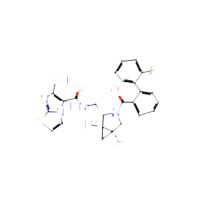 Cc1nc2sccn2c1C(=O)NC[C@@H]1[C@H]2C[C@H]2CN1C(=O)c1ccccc1-c1ccccc1F